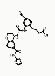 N#Cc1ccc(CCCC(=O)O)c(NC(=O)[C@@H]2C[C@]23CCOc2ccc(C(=O)Nc4ncco4)cc23)c1